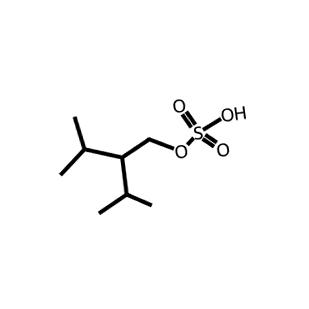 CC(C)C(COS(=O)(=O)O)C(C)C